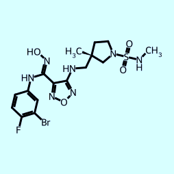 CNS(=O)(=O)N1CC[C@@](C)(CNc2nonc2/C(=N/O)Nc2ccc(F)c(Br)c2)C1